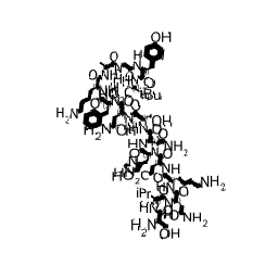 CC[C@H](C)[C@H](NC(=O)[C@H](Cc1ccc(O)cc1)NC(=O)CNC(=O)[C@H](C)NC(=O)[C@H](CCCCN)NC(=O)[C@H](Cc1ccccc1)NC(=O)[C@H](CC(N)=O)NC(=O)[C@H](CO)NC(=O)[C@H](CC(N)=O)NC(=O)[C@H](Cc1c[nH]cn1)NC(=O)[C@H](CCC(=O)O)NC(=O)[C@H](CCCCN)NC(=O)[C@H](CC(N)=O)NC(=O)[C@@H](NC(=O)[C@@H](N)CO)C(C)C)C(=O)O